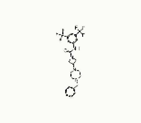 O=C(Nc1cc(C(F)(F)F)cc(C(F)(F)F)c1)N1CC(N2CCN(Cc3ccccc3)CC2)C1